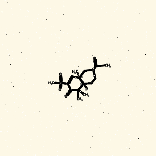 CC(=O)N1CC[C@@H]2C(C)(C)C(=O)C(S(C)(=O)=O)=C[C@@]2(C)C1